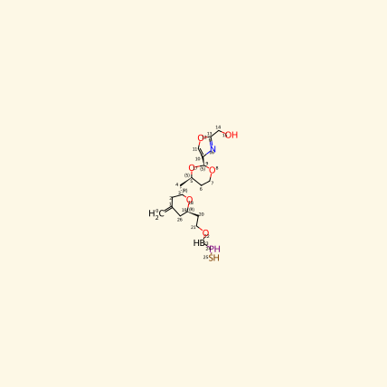 C=C1C[C@H](C[C@@H]2CCO[C@H](c3coc(CO)n3)O2)O[C@@H](CCOBPS)C1